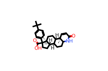 CC(C)(C)c1ccc(C2(C(=O)O)CC[C@H]3[C@@H]4CCC5NC(=O)C=C[C@]5(C)[C@@H]4CC[C@@]32C)cc1